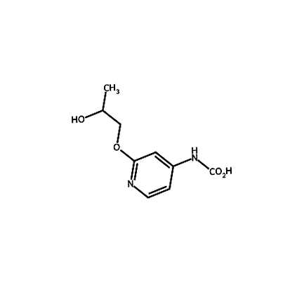 CC(O)COc1cc(NC(=O)O)ccn1